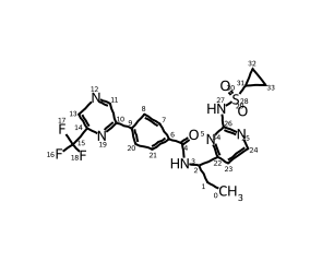 CCC(NC(=O)c1ccc(-c2cncc(C(F)(F)F)n2)cc1)c1ccnc(NS(=O)(=O)C2CC2)n1